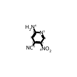 N#Cc1cc(N)ncc1[N+](=O)[O-]